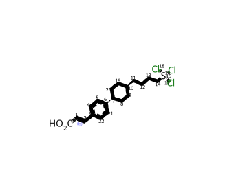 O=C(O)/C=C/c1ccc([C@H]2CC[C@H](CCCC[Si](Cl)(Cl)Cl)CC2)cc1